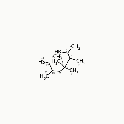 CBC(C)C(C)C(C)(C)CC(C)CS